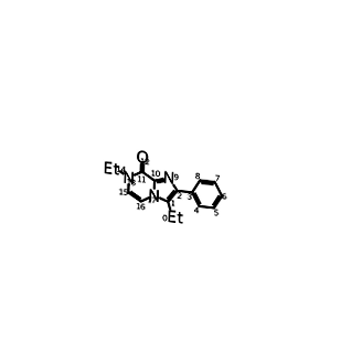 CCc1c(-c2ccccc2)nc2c(=O)n(CC)ccn12